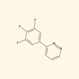 Fc1cc(-c2cccnn2)cc(F)c1F